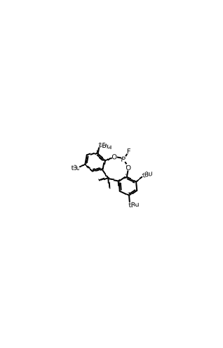 CC(C)(C)c1cc(C(C)(C)C)c2c(c1)C(C)(C)c1cc(C(C)(C)C)cc(C(C)(C)C)c1OP(F)O2